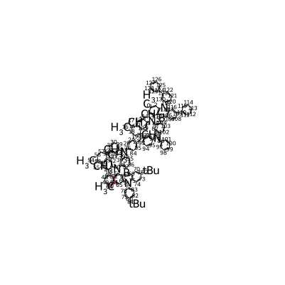 Cc1cc2c3c(c1)N(c1cc4c(cc1C)C(C)(C)CCC4(C)Cc1ccc(N(c4ccccc4)c4ccc5c(c4)N(c4cc6c(cc4-c4ccccc4)C(C)(C)CCC6(C)C)c4cc(C)cc6c4B5c4cc(C(C)(C)C)ccc4N6c4ccc(C(C)(C)C)cc4)cc1)c1cc(N(c4ccccc4)c4ccccc4)ccc1B3c1ccc(-c3ccccc3)cc1N2c1cccc(-c2ccccc2)c1